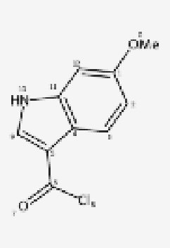 COc1ccc2c(C(=O)Cl)c[nH]c2c1